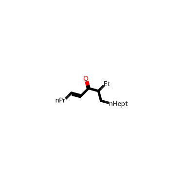 CCCC=CC(=O)C(CC)CCCCCCCC